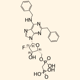 O=P(O)(O)CP(=O)(O)OC[C@H]1O[C@@H](n2cnc3c(NCc4ccccc4)nc(Cc4ccccc4)nc32)[C@@H](F)[C@@H]1O